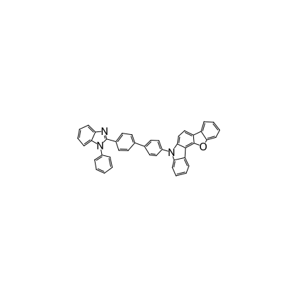 c1ccc(-n2c(-c3ccc(-c4ccc(-n5c6ccccc6c6c7oc8ccccc8c7ccc65)cc4)cc3)nc3ccccc32)cc1